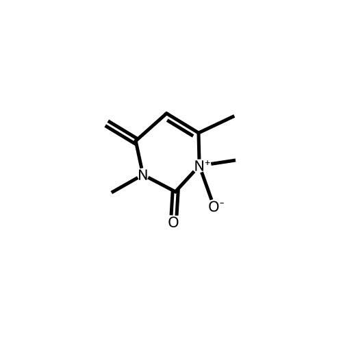 C=C1C=C(C)[N+](C)([O-])C(=O)N1C